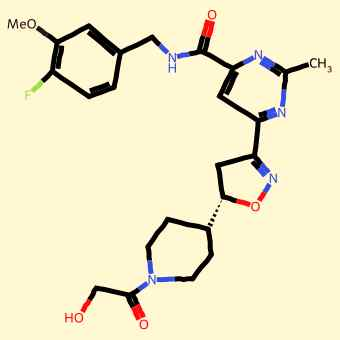 COc1cc(CNC(=O)c2cc(C3=NO[C@H](C4CCN(C(=O)CO)CC4)C3)nc(C)n2)ccc1F